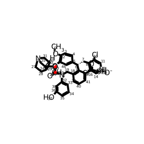 COc1ccc([C@H](Cc2c(Cl)c[n+]([O-])cc2Cl)c2c(CN(C(=O)O[C@H]3CN4CCC3CC4)c3cccc(O)c3)cccc2C(=O)O)cc1OC